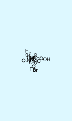 C=CCN1CC(=O)N2[C@@H](Cc3ccc(O)cc3)C(=O)N(Cc3ccc(F)c(Br)c3)C[C@@H]2N1C(=O)NCc1ccccc1